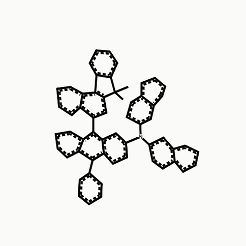 CC1(C)c2ccccc2-c2c1cc(-c1c3ccccc3c(-c3ccccc3)c3ccc(N(c4ccc5ccccc5c4)c4ccc5ccccc5c4)cc13)c1ccccc21